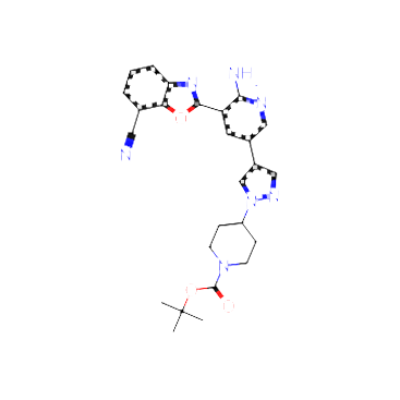 CC(C)(C)OC(=O)N1CCC(n2cc(-c3cnc(N)c(-c4nc5cccc(C#N)c5o4)c3)cn2)CC1